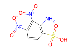 Nc1c(S(=O)(=O)O)ccc([N+](=O)[O-])c1[N+](=O)[O-]